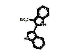 CCOC(=O)c1c(-c2c[nH]c3ccccc23)[nH]c2ccccc12